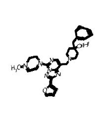 CN1CCN(c2ncc(CN3CCC(O)(Cc4ccccc4)CC3)c3nc(-c4ccco4)nn23)CC1